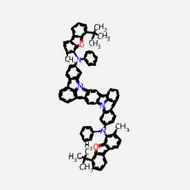 Cc1ccc2c(oc3c(C(C)(C)C)cccc32)c1N(c1ccccc1)c1ccc2c3cccc4c5cc6c(cc5n(c2c1)c34)c1cccc2c3ccc(N(c4ccccc4)c4c(C)ccc5c4oc4c(C(C)(C)C)cccc45)cc3n6c21